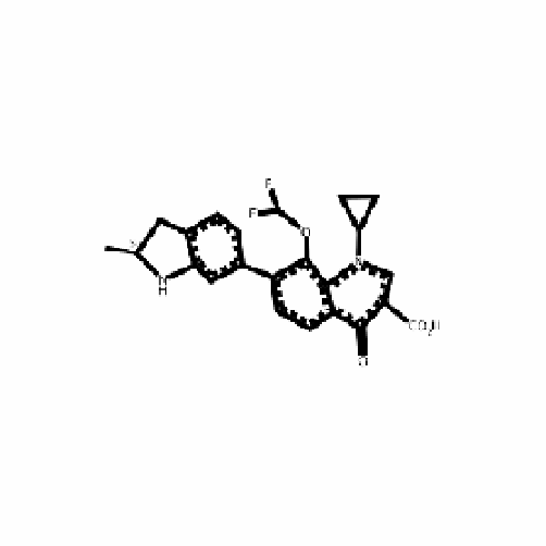 C[C@H]1Cc2ccc(-c3ccc4c(=O)c(C(=O)O)cn(C5CC5)c4c3OC(F)F)cc2N1